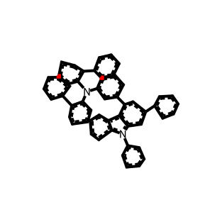 c1ccc(-c2cc(-c3cccc(N(c4ccccc4-c4ccccc4)c4ccccc4-c4ccccc4)c3)c3c4ccccc4n(-c4ccccc4)c3c2)cc1